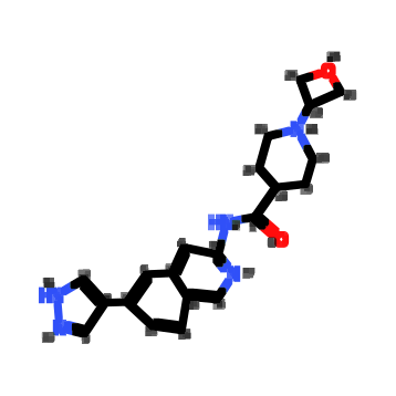 O=C(Nc1cc2cc(-c3cn[nH]c3)ccc2cn1)C1CCN(C2COC2)CC1